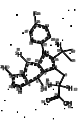 [2H]c1n[nH]c2c([2H])c3c(CC([2H])([2H])C(=O)O)c(C([2H])(C)C)n(-c4ccc(F)cc4)c3c([2H])c12